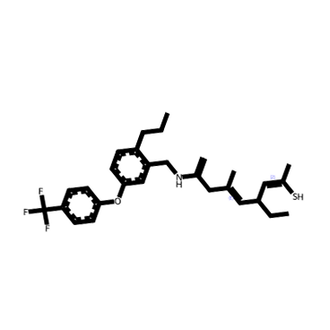 C=C(C/C(C)=C/C(/C=C(/C)S)CC)NCc1cc(Oc2ccc(C(F)(F)F)cc2)ccc1CCC